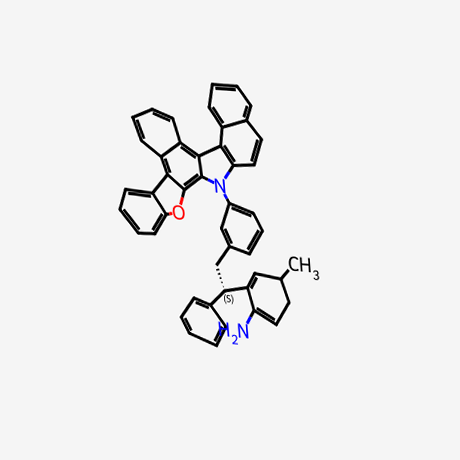 CC1C=C([C@@H](Cc2cccc(-n3c4ccc5ccccc5c4c4c5ccccc5c5c6ccccc6oc5c43)c2)c2ccccc2)C(N)=CC1